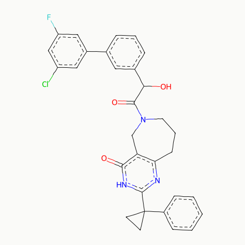 O=C(C(O)c1cccc(-c2cc(F)cc(Cl)c2)c1)N1CCCc2nc(C3(c4ccccc4)CC3)[nH]c(=O)c2C1